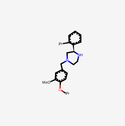 COc1cc(CN2CCN[C@H](c3ccccc3C(C)C)C2)ccc1OC(C)C